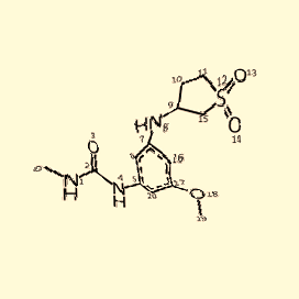 CNC(=O)Nc1cc(NC2CCS(=O)(=O)C2)cc(OC)c1